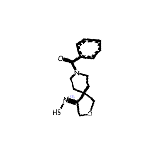 O=C(c1ccccc1)N1CCC2(CC1)COC/C2=N\S